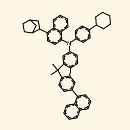 CC1(C)c2ccc(-c3cccc4ccccc34)cc2-c2ccc(N(c3ccc(C4CCCCC4)cc3)c3ccc(C4CC5CCC4C5)c4ccccc34)cc21